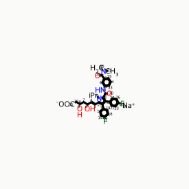 CC(C)n1c(C=C[C@@H](O)C[C@@H](O)CC(=O)[O-])c(-c2ccc(F)cc2)c(-c2ccc(F)cc2)c1C(=O)Nc1cccc(C(=O)N(C)C)c1.[Na+]